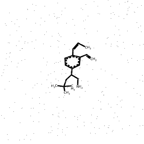 C=Cc1cc(C(CN)CC(C)(C)C)ccc1/C=C\C